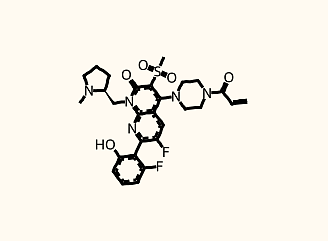 C=CC(=O)N1CCN(c2c(S(C)(=O)=O)c(=O)n(C[C@@H]3CCCN3C)c3nc(-c4c(O)cccc4F)c(F)cc23)CC1